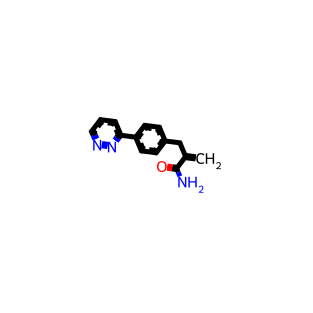 C=C(Cc1ccc(-c2cccnn2)cc1)C(N)=O